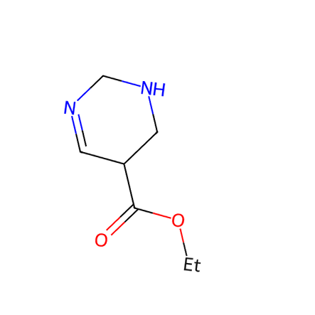 CCOC(=O)C1C=NCNC1